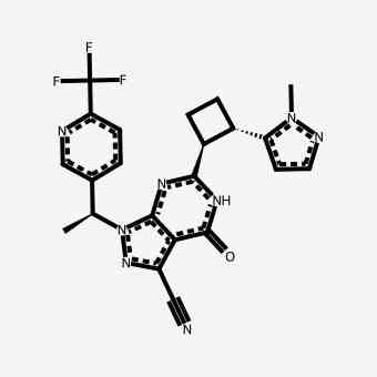 C[C@@H](c1ccc(C(F)(F)F)nc1)n1nc(C#N)c2c(=O)[nH]c([C@H]3CC[C@@H]3c3ccnn3C)nc21